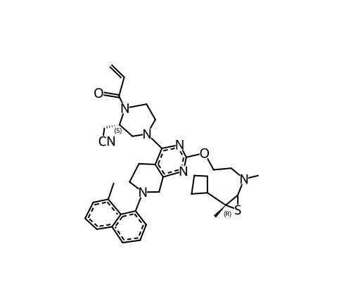 C=CC(=O)N1CCN(c2nc(OCCN(C)C3S[C@]3(C)C3CCC3)nc3c2CCN(c2cccc4cccc(C)c24)C3)C[C@@H]1CC#N